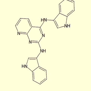 c1ccc2c(Nc3nc(Nc4c[nH]c5ccccc45)c4cccnc4n3)c[nH]c2c1